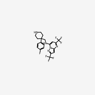 Fc1ccc(C2(CNc3cc(C(F)(F)F)nc4cc(C(F)(F)F)nn34)CCNCC2)cc1